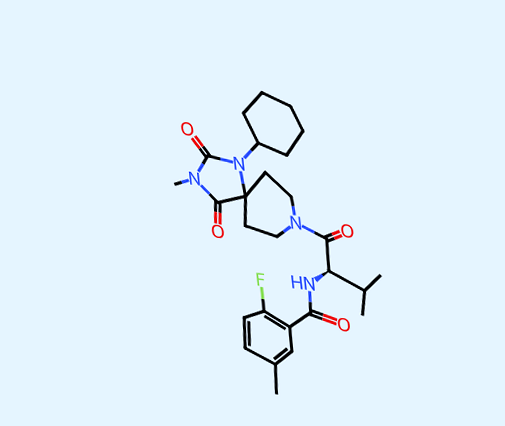 Cc1ccc(F)c(C(=O)N[C@@H](C(=O)N2CCC3(CC2)C(=O)N(C)C(=O)N3C2CCCCC2)C(C)C)c1